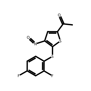 CC(=O)c1cc(N=O)c(Sc2ccc(F)cc2F)s1